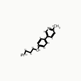 Cc1ccc(-c2ccc(OCCCC(C)C)cc2)cn1